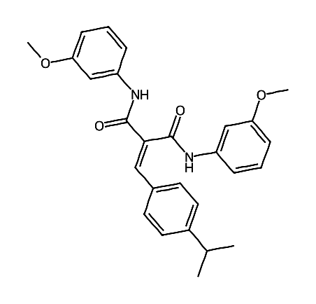 COc1cccc(NC(=O)C(=Cc2ccc(C(C)C)cc2)C(=O)Nc2cccc(OC)c2)c1